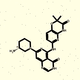 CC1(C)Oc2ccc(Nc3nc(N4CCC[C@@H](N)C4)cc4nc[nH]c(=O)c34)nc2NC1=O